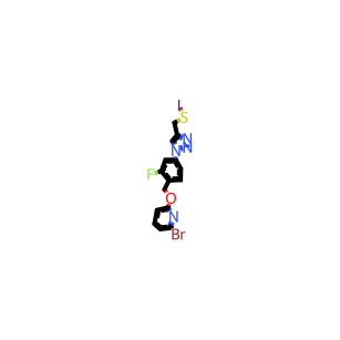 Fc1cc(-n2cc(CSI)nn2)ccc1COc1cccc(Br)n1